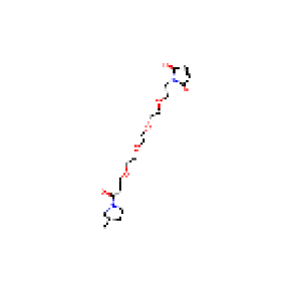 CC1CCN(C(=O)CCOCCOCCOCCOCCN2C(=O)C=CC2=O)C1